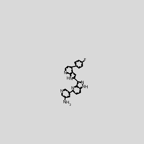 Nc1cncc(-c2ccc3[nH]nc(-c4cc5c(-c6ccc(F)cc6)ccnc5[nH]4)c3n2)c1